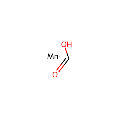 O=CO.[Mn]